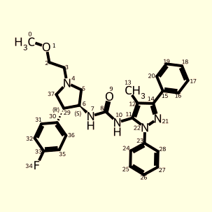 COCCN1C[C@@H](NC(=O)Nc2c(C)c(-c3ccccc3)nn2-c2ccccc2)[C@H](c2ccc(F)cc2)C1